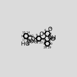 O=C1C=CC2C(=C1)Oc1cc(OCc3ccccc3B(O)O)ccc1C2c1ccccc1C(=O)O